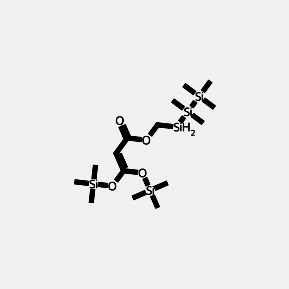 C[Si](C)(C)OC(=CC(=O)OC[SiH2][Si](C)(C)[Si](C)(C)C)O[Si](C)(C)C